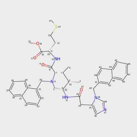 CC[C@H](C)[C@@H](CN(CC(=O)N[C@@H](CCSC)C(=O)OC)Cc1cccc2ccccc12)NC(=O)Cc1cncn1Cc1ccc2ccccc2c1